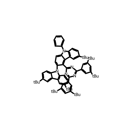 CC(C)(C)c1cc(-c2nc(-c3cc(C(C)(C)C)cc(C(C)(C)C)c3)nc(-c3c(-n4c5ccc(C(C)(C)C)cc5c5cc(C(C)(C)C)ccc54)ccc4c3c3cc(C(C)(C)C)ccc3n4-c3ccccc3)n2)cc(C(C)(C)C)c1